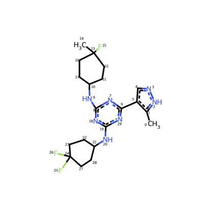 Cc1[nH]ncc1-c1nc(NC2CCC(C)(F)CC2)nc(NC2CCC(F)(F)CC2)n1